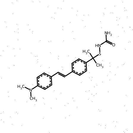 CN(C)c1ccc(C=Cc2ccc(C(C)(C)SNC(N)=O)cc2)cc1